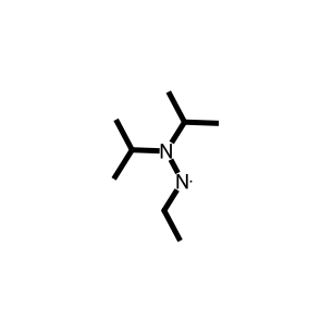 CC[N]N(C(C)C)C(C)C